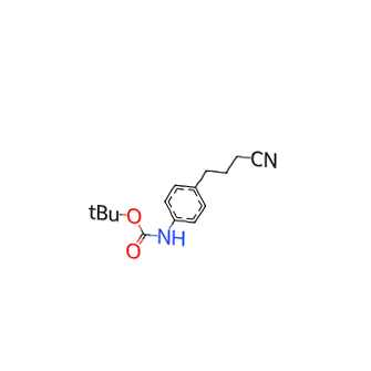 CC(C)(C)OC(=O)Nc1ccc(CCCC#N)cc1